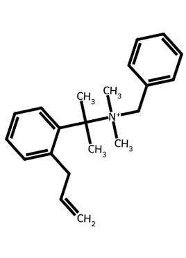 C=CCc1ccccc1C(C)(C)[N+](C)(C)Cc1ccccc1